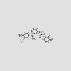 CC(=O)N(c1ccc(C#N)c(C(F)(F)F)c1)c1cc(NC(=O)Cc2cccc(F)c2Cl)ccn1